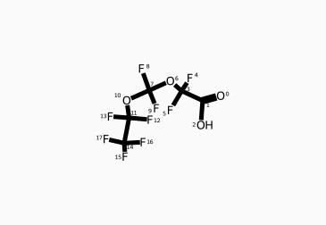 O=C(O)C(F)(F)OC(F)(F)OC(F)(F)C(F)(F)F